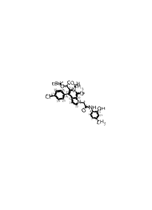 Cc1ccc(NC(=O)Cn2ccc3c(-c4ccc(Cl)cc4)c(C(OC(C)(C)C)C(=O)O)n(C)c(=O)c32)c(O)c1